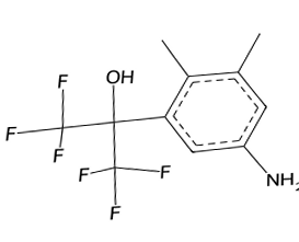 Cc1cc(N)cc(C(O)(C(F)(F)F)C(F)(F)F)c1C